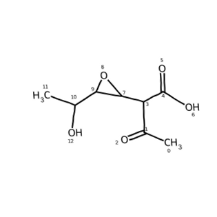 CC(=O)C(C(=O)O)C1OC1C(C)O